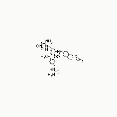 COc1ccc2cc(C(=O)N[C@H](CCCN/C(N)=N\[N+](=O)[O-])C(=O)NC(C)c3ccc(CNC(N)=O)cc3)ccc2c1